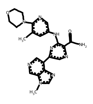 Cc1cc(Nc2nc(-c3cncc4c3ncn4C)cnc2C(N)=O)cnc1N1CCOCC1